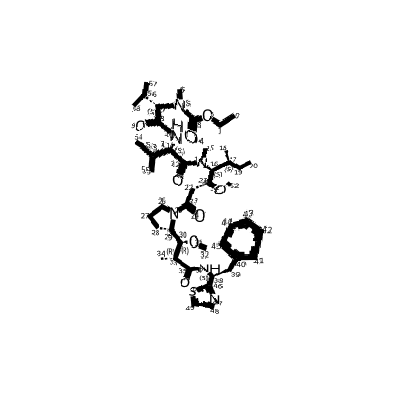 CCOC(=O)N(C)[C@H](C(=O)N[C@H](C(=O)N(C)[C@@H]([C@@H](C)CC)[C@@H](CC(=O)N1CCC[C@H]1[C@H](OC)[C@@H](C)C(=O)N[C@@H](Cc1ccccc1)c1nccs1)OC)C(C)C)C(C)C